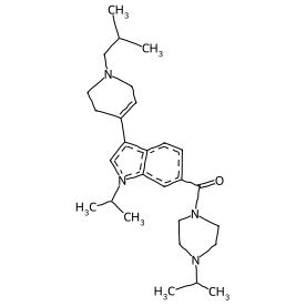 CC(C)CN1CC=C(c2cn(C(C)C)c3cc(C(=O)N4CCN(C(C)C)CC4)ccc23)CC1